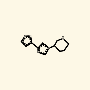 c1cc(-c2cn(C3CCCNC3)cn2)[nH]n1